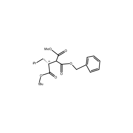 COC(=O)C(C(=O)OCc1ccccc1)[C@@H](CC(C)C)C(=O)OC(C)(C)C